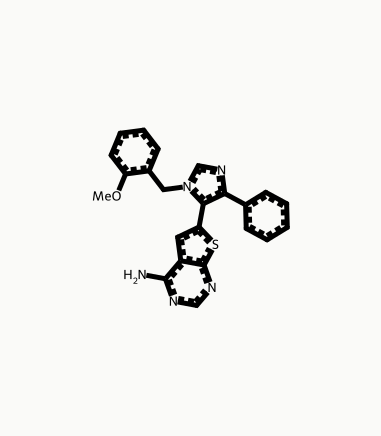 COc1ccccc1Cn1cnc(-c2ccccc2)c1-c1cc2c(N)ncnc2s1